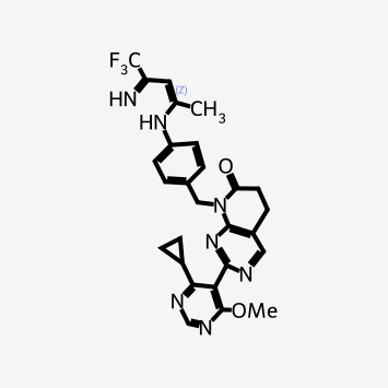 COc1ncnc(C2CC2)c1-c1ncc2c(n1)N(Cc1ccc(N/C(C)=C\C(=N)C(F)(F)F)cc1)C(=O)CC2